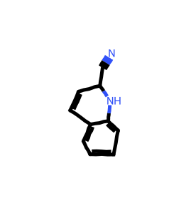 N#CC1C=Cc2ccccc2N1